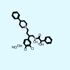 CN(CC(CCN1CCC(c2ccccc2)CC1)c1ccc(Cl)c(Cl)c1)C(=O)C(O)c1ccccc1.Cl.Cl